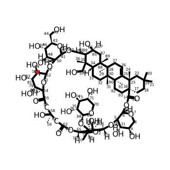 C[C@@H]1O[C@H]2O[C@H]3[C@@H](OC[C@@H](O)[C@@H]3O)OC(=O)[C@]34CCC(C)(C)C[C@@]3(C)C3=CC[C@@]5(C)[C@@](C)(CC[C@@H]6[C@](C)(CO)[C@@H](O[C@@H]7O[C@H](CO)[C@@H](O)[C@H](O)[C@H]7O[C@@H]7O[C@@H](C(=O)C[C@](C)(O)CC(=O)O[C@@H]1[C@@H](O[C@@H]1OC[C@@H](O)[C@H](O)[C@H]1O)[C@H]2O)[C@H](O)[C@H](O)[C@H]7O)[C@@H](O)C[C@@]65C)[C@]3(C)CC4